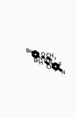 C[C@@H]1CN(C(=O)Nc2ccc(Br)cc2Br)[C@@H](C)CN1c1ccc(C#N)c(F)c1